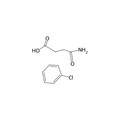 Clc1ccccc1.NC(=O)CCC(=O)O